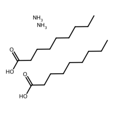 CCCCCCCCC(=O)O.CCCCCCCCC(=O)O.N.N